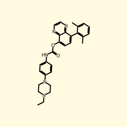 CCN1CCN(c2ccc(NC(=O)Oc3ccc(-c4c(C)cccc4C)c4nccnc34)cc2)CC1